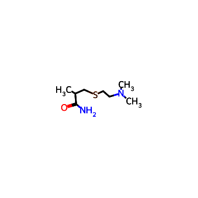 CC(CSCCN(C)C)C(N)=O